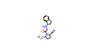 CC1CCC(C#N)N1C(=O)CNC1CCc2ccccc21